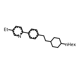 CCCCCCC1CCC(CCc2ccc(-c3ccc(CC)cn3)cc2)CC1